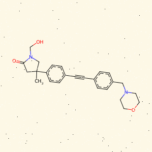 CC1(c2ccc(C#Cc3ccc(CN4CCOCC4)cc3)cc2)CC(=O)N(CO)C1